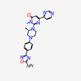 CCCc1nc(-c2ccc(N3CCN(c4nc(-c5ccncn5)cc(=O)n4C)[C@H](C)C3)cc2)no1